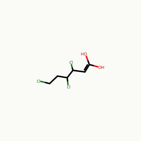 OC(O)=CC(Cl)C(Cl)CCCl